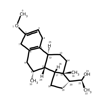 COC1=CCC2=C(C1)C[C@@H](C)[C@@H]1[C@@H]2CC[C@@]2(C)[C@@H]1CC[C@H]2[C@H](C)O